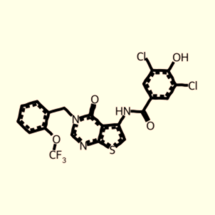 O=C(Nc1csc2ncn(Cc3ccccc3OC(F)(F)F)c(=O)c12)c1cc(Cl)c(O)c(Cl)c1